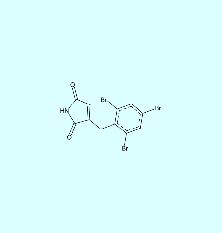 O=C1C=C(Cc2c(Br)cc(Br)cc2Br)C(=O)N1